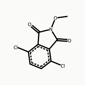 CON1C(=O)c2c(Cl)ccc(Cl)c2C1=O